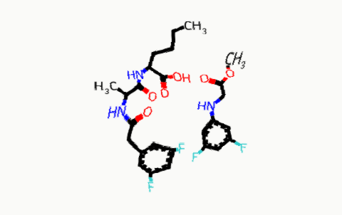 CCCCC(NC(=O)C(C)NC(=O)Cc1cc(F)cc(F)c1)C(=O)O.COC(=O)CNc1cc(F)cc(F)c1